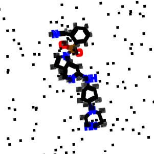 N#Cc1ccccc1S(=O)(=O)n1ccc2cnc(Nc3ccc(N4CCNCC4)cc3)cc21